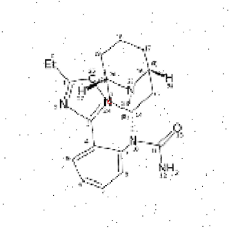 CCc1nc(-c2ccccc2N(C(N)=O)[C@H]2C[C@H]3CCC[C@@H](C2)N3C)no1